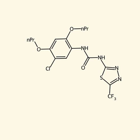 CCCOc1cc(OCCC)c(NC(=O)Nc2nnc(C(F)(F)F)s2)cc1Cl